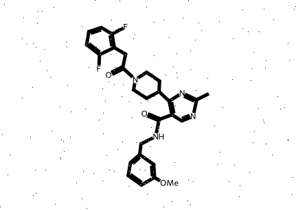 COc1cccc(CNC(=O)c2cnc(C)nc2C2CCN(C(=O)Cc3c(F)cccc3F)CC2)c1